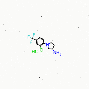 Cl.NC1CCN(c2ccc(C(F)(F)F)cc2Cl)C1